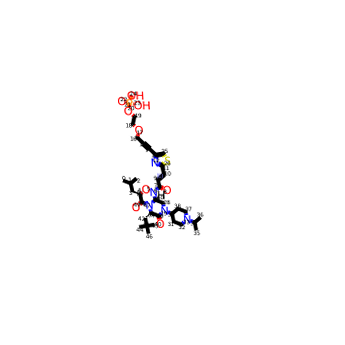 CC(C)C[C@H]1ON(C(=O)/C=C/c2nc(C#CCOCCOP(=O)(O)O)cs2)[C@H]2CN(C3CCN(C(C)C)CC3)C(=O)[C@H](CC(C)(C)C)N2C1=O